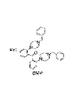 COc1ccc(C(=O)c2ccc(OC)cc2N2CCN(Cc3ccccc3)CC2)c(N2CCN(Cc3ccccc3)CC2)c1